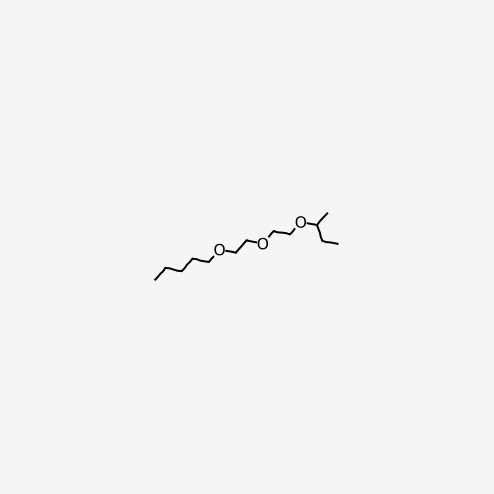 CCCCCOCCOCCOC(C)CC